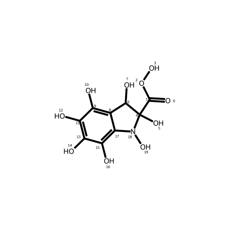 O=C(OO)C1(O)C(O)c2c(O)c(O)c(O)c(O)c2N1O